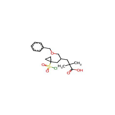 CC(C)(CC(COCc1ccccc1)CC1(S(=O)(=O)Cl)CC1)C(=O)O